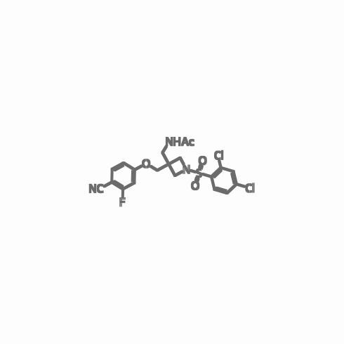 CC(=O)NCC1(COc2ccc(C#N)c(F)c2)CN(S(=O)(=O)c2ccc(Cl)cc2Cl)C1